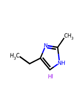 CCc1c[nH]c(C)n1.I